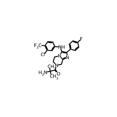 CC(C)(N)C(=O)N1CCn2c(nc(-c3ccc(F)cc3)c2Nc2ccc(C(F)(F)F)c(Cl)c2)C1